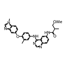 COCC(C)C(=O)Nc1ccc2ncnc(Nc3ccc(Oc4ccc5c(c4)ncn5C)c(C)c3)c2c1